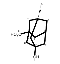 O=C(O)C12CC3C[C@@H](CC(O)(C3)C1)C2